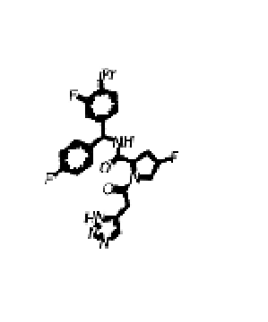 CC(C)c1ccc(C(NC(=O)C2CC(F)CN2C(=O)Cc2cnn[nH]2)c2ccc(F)cc2)cc1F